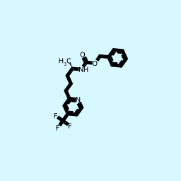 C[C@@H](CCCc1cc(C(F)(F)F)ccn1)NC(=O)OCc1ccccc1